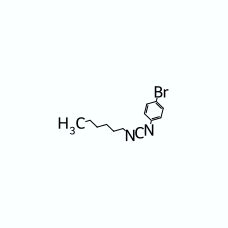 CCCCCCN=C=Nc1ccc(Br)cc1